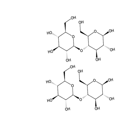 OC[C@H]1O[C@@H](O[C@H]2[C@H](O)[C@@H](O)[C@H](O)O[C@@H]2CO)[C@H](O)[C@@H](O)[C@@H]1O.OC[C@H]1O[C@@H](O[C@H]2[C@H](O)[C@@H](O)[C@H](O)O[C@@H]2CO)[C@H](O)[C@@H](O)[C@@H]1O